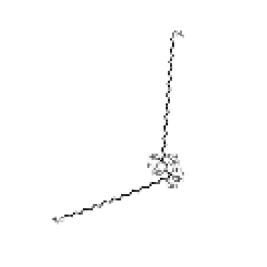 CCCCCCCCCCCCCCCCCCCCCCC(O)[C@@](C)(O)[C@@H](O)[C@H](O)[C@](C)(O)C(O)CCCCCCCCCCCCCCCCCCCCCC